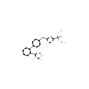 CCCCn1nc(C(C)(OCCC)OCCC)nc1Cc1ccc(-c2ccccc2-c2nnn[nH]2)cc1